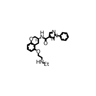 CCNCCOc1cccc2c1C[C@H](NC(=O)c1cnn(-c3ccccc3)n1)CO2